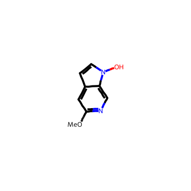 COc1cc2ccn(O)c2cn1